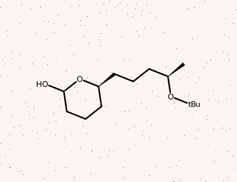 C[C@H](CCC[C@H]1CCCC(O)O1)OC(C)(C)C